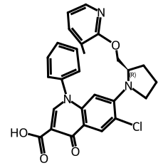 Cc1cccnc1OC[C@H]1CCCN1c1cc2c(cc1Cl)c(=O)c(C(=O)O)cn2-c1ccccc1